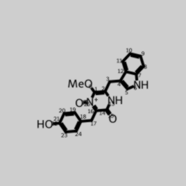 COc1c(Cc2c[nH]c3ccccc23)[nH]c(=O)c(Cc2ccc(O)cc2)[n+]1[O-]